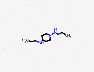 CCCNC1CC[N+](NCCC)CC1